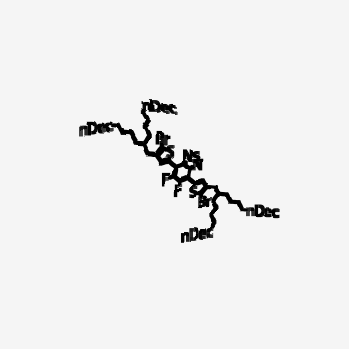 CCCCCCCCCCCCCCC(CCCCCCCCCCCCCC)Cc1cc(-c2c(F)c(F)c(-c3cc(CC(CCCCCCCCCCCCCC)CCCCCCCCCCCCCC)c(Br)s3)c3nsnc23)sc1Br